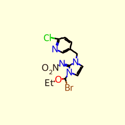 CCOC(Br)n1ccn(Cc2ccc(Cl)nc2)c1=N[N+](=O)[O-]